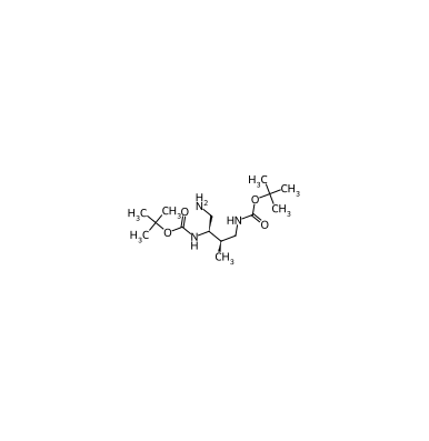 C[C@H](CNC(=O)OC(C)(C)C)[C@H](CN)NC(=O)OC(C)(C)C